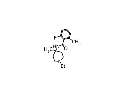 CCN1CCC(C)(NC(=O)c2c(C)cccc2F)CC1